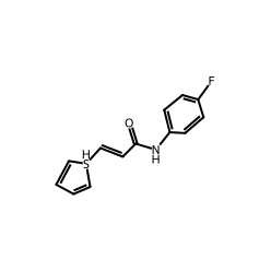 O=C(C=C[SH]1C=CC=C1)Nc1ccc(F)cc1